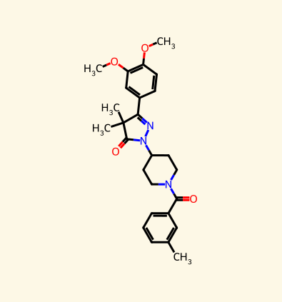 COc1ccc(C2=NN(C3CCN(C(=O)c4cccc(C)c4)CC3)C(=O)C2(C)C)cc1OC